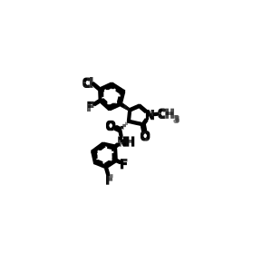 CN1C[C@H](c2ccc(Cl)c(F)c2)[C@@H](C(=O)Nc2cccc(F)c2F)C1=O